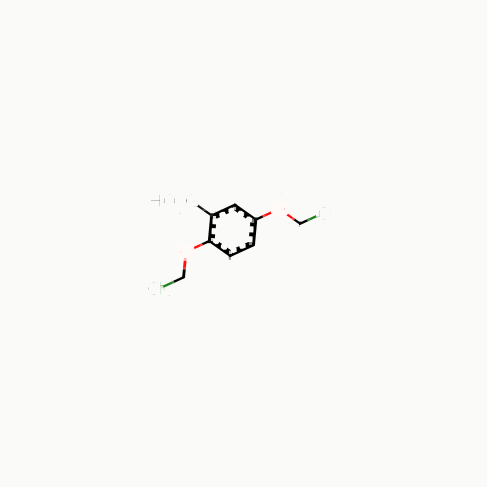 O=C(O)c1cc(OCCl)ccc1OCCl